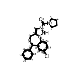 O=C(N1CCCC1)N1C=C2CN=C(c3ccccc3)c3cc(Cl)ccc3N2N1